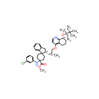 COC(=O)C1(Nc2cccc(Cl)c2)CCC2(CC1)c1ccccc1C[C@@H]2C[C@@H](C)COc1ccnc2c1CCC[C@H]2O[Si](C)(C)C(C)(C)C